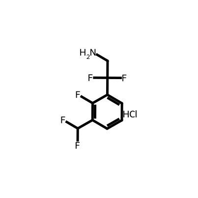 Cl.NCC(F)(F)c1cccc(C(F)F)c1F